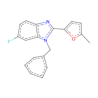 Cc1ccc(-c2nc3ccc(F)cc3n2Cc2ccccc2)o1